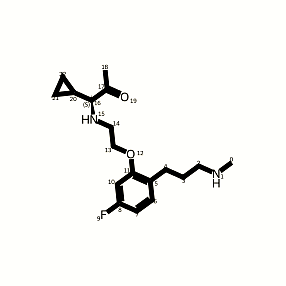 CNCCCc1ccc(F)cc1OCCN[C@H](C(C)=O)C1CC1